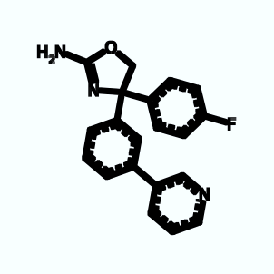 NC1=NC(c2ccc(F)cc2)(c2cccc(-c3cccnc3)c2)CO1